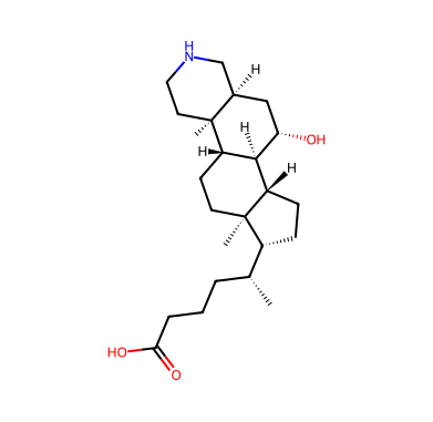 C[C@H](CCCC(=O)O)[C@H]1CC[C@H]2[C@@H]3[C@@H](O)C[C@@H]4CNCC[C@]4(C)[C@H]3CC[C@]12C